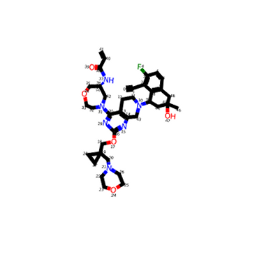 C#Cc1c(F)ccc2c1C(N1CCc3c(nc(OCC4(CN5CCOCC5)CC4)nc3N3CCOC[C@@H](NC(=O)C=C)C3)C1)CC(C)(O)C2